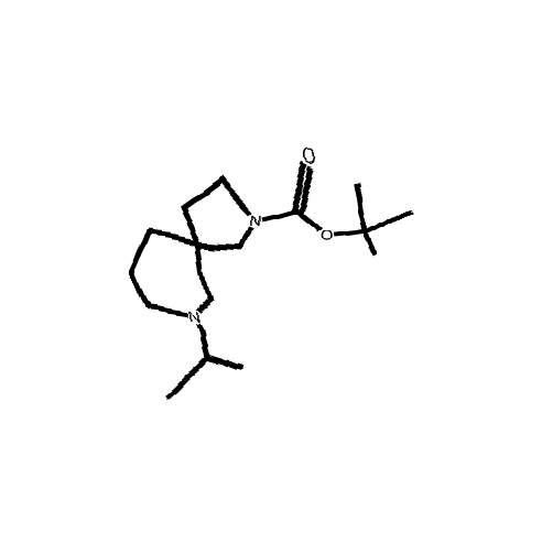 CC(C)N1CCCC2(CCN(C(=O)OC(C)(C)C)C2)C1